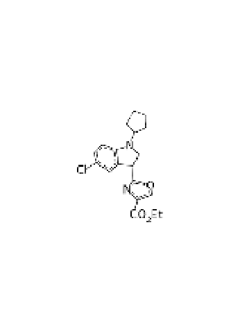 CCOC(=O)c1coc(C2CN(C3CCCC3)c3ccc(Cl)cc32)n1